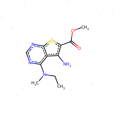 CCN(C)c1ncnc2sc(C(=O)OC)c(N)c12